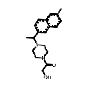 Cc1ccc2cc(C(C)N3CCN(C(=O)CO)CC3)ccc2c1